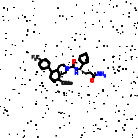 COc1ccc(-c2ccc(C(F)(F)F)cc2)c2c1CN(C(=O)N[C@@H](CCC(N)=O)c1ccccc1)CC2